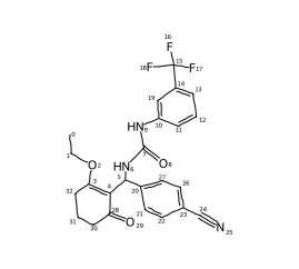 CCOC1=C(C(NC(=O)Nc2cccc(C(F)(F)F)c2)c2ccc(C#N)cc2)C(=O)CCC1